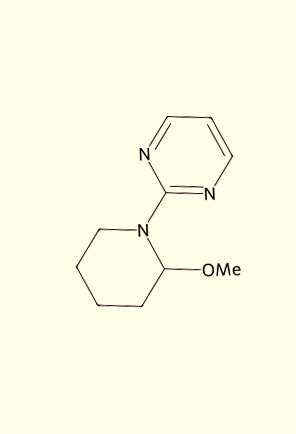 COC1CCCCN1c1ncccn1